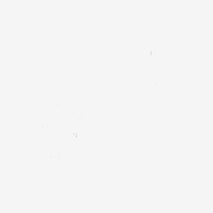 C=C(NC(C)=O)c1cc(CC(C)C(F)(F)F)ccc1Cl